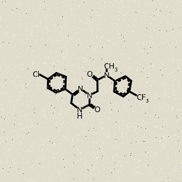 CN(C(=O)CN1N=C(c2ccc(Cl)cc2)CNC1=O)c1ccc(C(F)(F)F)cc1